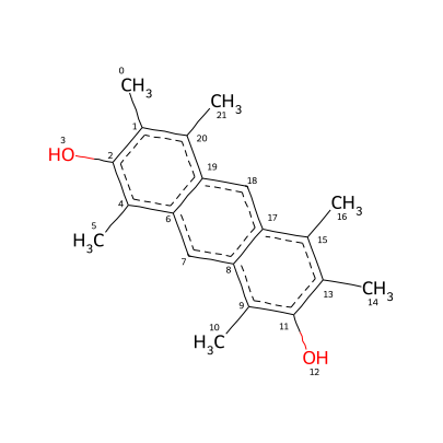 Cc1c(O)c(C)c2cc3c(C)c(O)c(C)c(C)c3cc2c1C